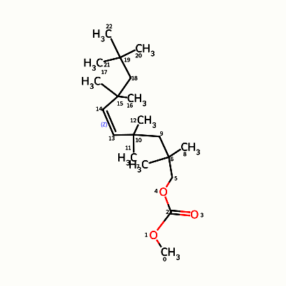 COC(=O)OCC(C)(C)CC(C)(C)/C=C\C(C)(C)CC(C)(C)C